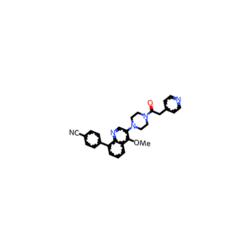 COc1c(N2CCN(C(=O)Cc3ccncc3)CC2)cnc2c(-c3ccc(C#N)cc3)cccc12